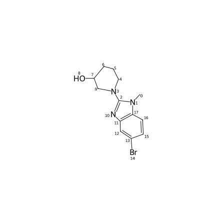 Cn1c(N2CCCC(O)C2)nc2cc(Br)ccc21